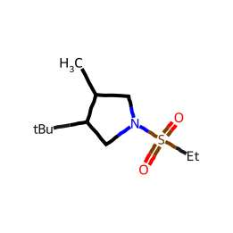 CCS(=O)(=O)N1CC(C)C(C(C)(C)C)C1